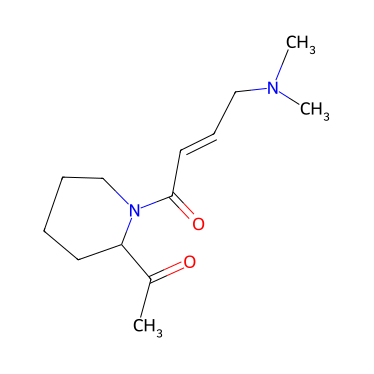 CC(=O)C1CCCCN1C(=O)/C=C/CN(C)C